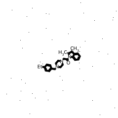 CCc1ccc(CN2CCN(CC(=O)N3c4ccccc4[C@@H](C)[C@H]3C)CC2)cc1